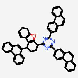 C1=Cc2c(oc3c2C(c2cc4ccccc4c4ccccc24)CCC3c2nc(-c3ccc4c(ccc5ccccc54)c3)nc(-c3ccc4c(ccc5ccccc54)c3)n2)CC1